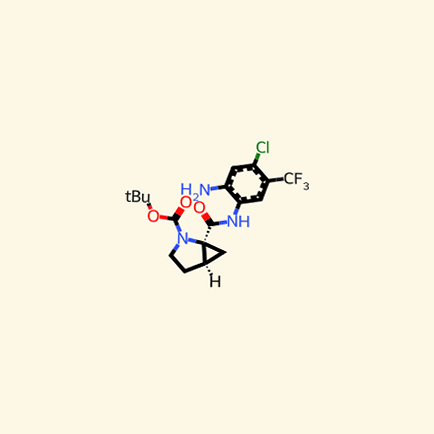 CC(C)(C)OC(=O)N1CC[C@@H]2C[C@@]21C(=O)Nc1cc(C(F)(F)F)c(Cl)cc1N